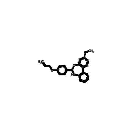 C=CCOc1ccc(C2Nc3ccccc3-c3nnc(SC)nc3O2)cc1